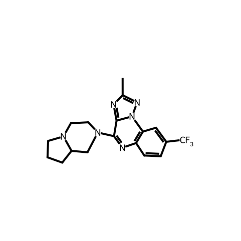 Cc1nc2c(N3CCN4CCCC4C3)nc3ccc(C(F)(F)F)cc3n2n1